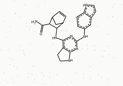 NC(=O)C1C2C=CC(C2)C1Nc1nc(Nc2ccc3[nH]ccc3c2)nc2c1CCN2